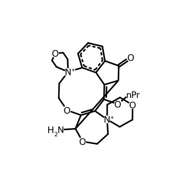 CCCOC1=C2c3c4cccc3[N+]3(CCOCC3)CCOC3=C1[N+]1(CCOCC1)CCOC3(N)C2C4=O